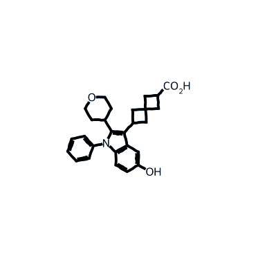 O=C(O)C1CC2(C1)CC(c1c(C3CCOCC3)n(-c3ccccc3)c3ccc(O)cc13)C2